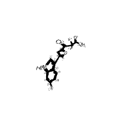 O=C(O)C(F)(F)C(=O)c1cc(-c2c[nH]c3cc(F)ccc23)co1